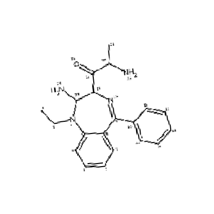 CCN1c2ccccc2C(c2ccccc2)=NC(C(=O)C(C)N)C1N